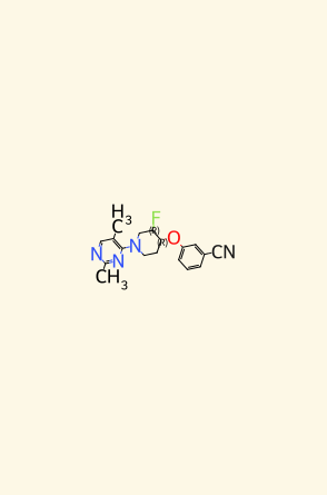 Cc1ncc(C)c(N2CC[C@@H](Oc3cccc(C#N)c3)[C@H](F)C2)n1